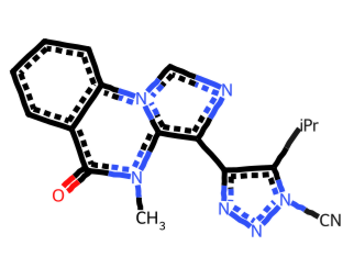 CC(C)c1c(-c2ncn3c4ccccc4c(=O)n(C)c23)nnn1C#N